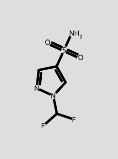 NS(=O)(=O)c1cnn(C(F)F)c1